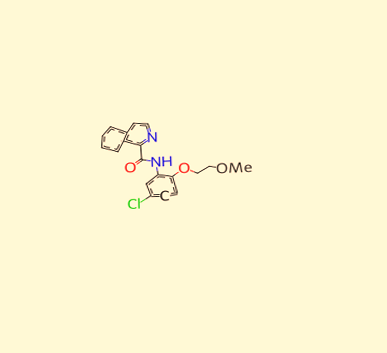 COCCOc1ccc(Cl)cc1NC(=O)c1nccc2ccccc12